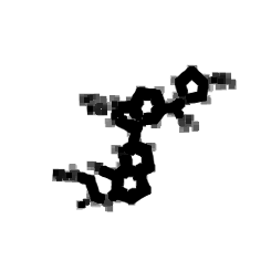 COC[C@@H](C)Oc1ccc2ccc(-c3nnc4ccc([C@@H](N5CC[C@H](N)C5)C(F)(F)F)cn34)nc2c1F.Cl.Cl